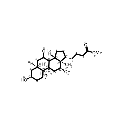 COC(=O)CCC[C@H]1CC[C@H]2[C@@H]3[C@H](O)C[C@@H]4C[C@H](O)CC[C@]4(C)[C@H]3C[C@H](O)[C@]12C